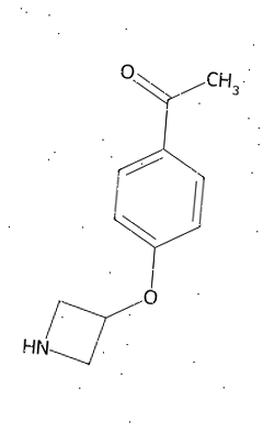 CC(=O)c1ccc(OC2CNC2)cc1